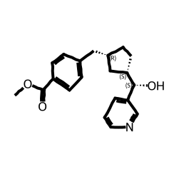 COC(=O)c1ccc(C[C@@H]2CC[C@H]([C@H](O)c3cccnc3)C2)cc1